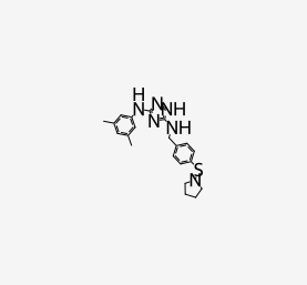 Cc1cc(C)cc(Nc2n[nH]c(NCc3ccc(SN4CCCC4)cc3)n2)c1